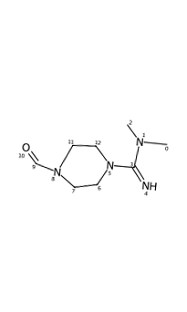 CN(C)C(=N)N1CCN(C=O)CC1